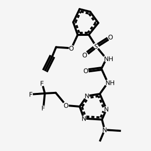 C#CCOc1ccccc1S(=O)(=O)NC(=O)Nc1nc(OCC(F)(F)F)nc(N(C)C)n1